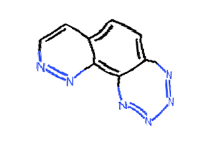 c1cc2ccc3nnnnc3c2nn1